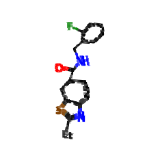 CCc1nc2ccc(C(=O)NCc3ccccc3F)cc2s1